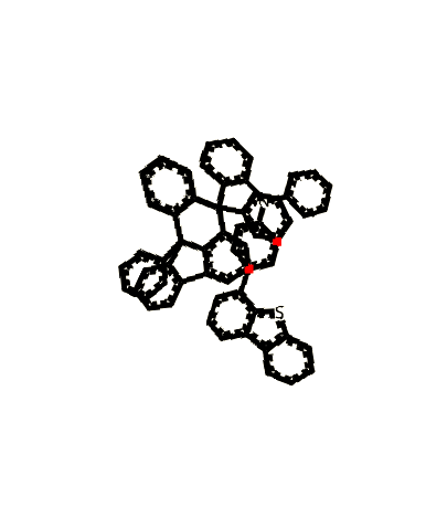 c1ccc(N(c2ccc(-c3cccc4c3sc3ccccc34)cc2)c2ccccc2C2(c3ccccc3)c3ccccc3C3(c4ccccc4)c4ccccc4-c4cccc2c43)cc1